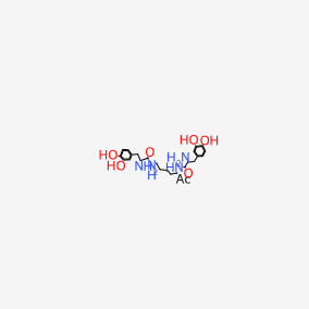 CC(=O)[C@H](CCCCNC(=O)[C@@H](N)Cc1ccc(O)c(O)c1)NC(=O)[C@@H](N)Cc1ccc(O)c(O)c1